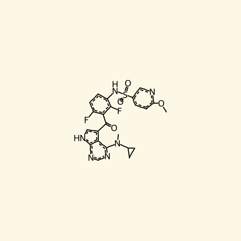 COc1ccc(S(=O)(=O)Nc2ccc(F)c(C(=O)c3c[nH]c4ncnc(N(C)C5CC5)c34)c2F)cn1